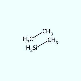 CC.C[SiH3]